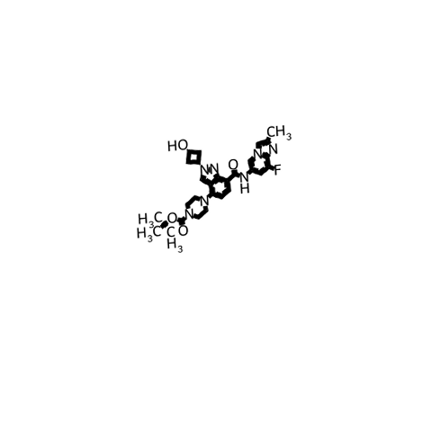 Cc1cn2cc(NC(=O)c3ccc(N4CCN(C(=O)OC(C)(C)C)CC4)c4cn([C@H]5C[C@@H](O)C5)nc34)cc(F)c2n1